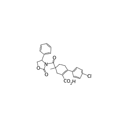 CC1(C(=O)N2C(=O)OCC2c2ccccc2)CCC(c2ccc(Cl)cc2)=C(C(=O)O)C1